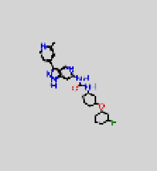 Cc1cc(-c2n[nH]c3cc(NC(=O)NC4CCCC(OC5CCCC(F)C5)C4)ncc23)ccn1